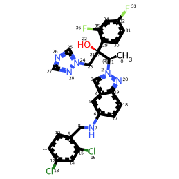 C[C@@H](n1cc2cc(NCc3ccc(Cl)cc3Cl)ccc2n1)[C@](O)(Cn1cncn1)c1ccc(F)cc1F